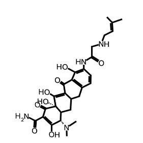 CC(C)=CCNCC(=O)Nc1ccc2c(c1O)C(=O)C1=C(O)[C@]3(O)C(=O)C(C(N)=O)=C(O)[C@@H](N(C)C)C3CC1C2